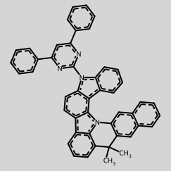 CC1(C)c2cc3ccccc3cc2-n2c3c1cccc3c1ccc3c(c4ccccc4n3-c3nc(-c4ccccc4)cc(-c4ccccc4)n3)c12